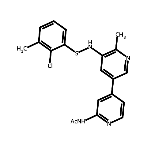 CC(=O)Nc1cc(-c2cnc(C)c(NSc3cccc(C)c3Cl)c2)ccn1